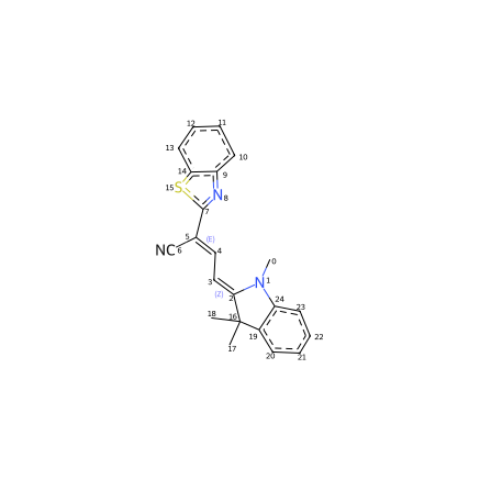 CN1/C(=C\C=C(/C#N)c2nc3ccccc3s2)C(C)(C)c2ccccc21